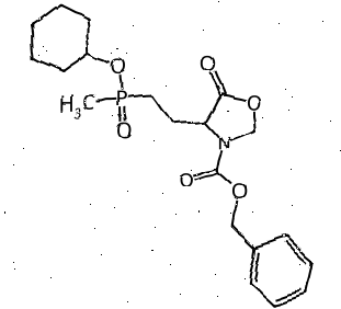 CP(=O)(CCC1C(=O)OCN1C(=O)OCc1ccccc1)OC1CCCCC1